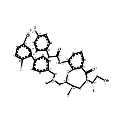 C[C@@H]1CN([C@@H](C)CO)C(=O)c2cccc(NC(=O)Cc3ccc(C(F)(F)F)cc3)c2O[C@@H]1CN(C)Cc1ccc(-c2cc(C(F)(F)F)ccc2F)cc1